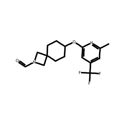 Cc1cc(C(F)(F)F)cc(OC2CCC3(CC2)CN(C=O)C3)n1